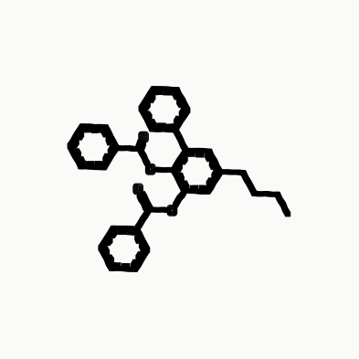 CCCCc1cc(OC(=O)c2ccccc2)c(OC(=O)c2ccccc2)c(-c2ccccc2)c1